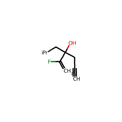 C#CCC(O)(CC(C)C)C(=C)F